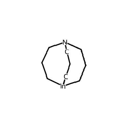 C1CN2CC[CH2][In]([CH2]1)[CH2]CC2